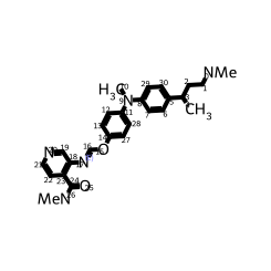 CNCCC(C)c1ccc(N(C)c2ccc(O/C=N/c3cnccc3C(=O)NC)cc2)cc1